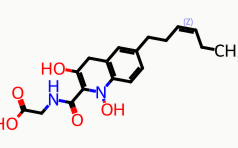 CC/C=C\CCc1ccc2c(c1)CC(O)=C(C(=O)NCC(=O)O)N2O